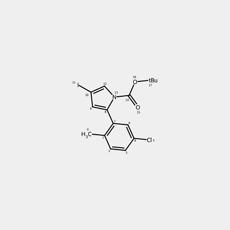 Cc1ccc(Cl)cc1-c1cc(I)cn1C(=O)OC(C)(C)C